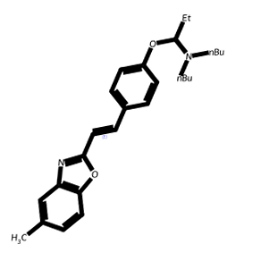 CCCCN(CCCC)C(CC)Oc1ccc(/C=C/c2nc3cc(C)ccc3o2)cc1